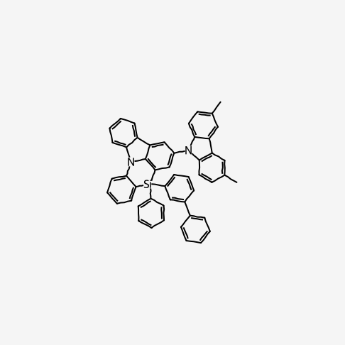 Cc1ccc2c(c1)c1cc(C)ccc1n2-c1cc2c3c(c1)c1ccccc1n3-c1ccccc1[Si]2(c1ccccc1)c1cccc(-c2ccccc2)c1